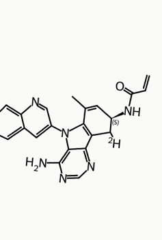 [2H]C1c2c(n(-c3cnc4ccccc4c3)c3c(N)ncnc23)C(C)=C[C@H]1NC(=O)C=C